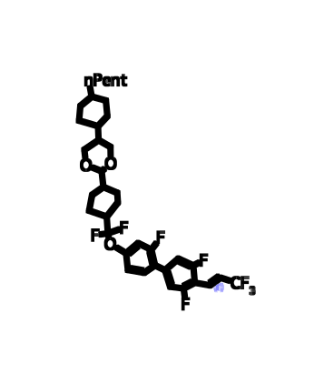 CCCCCC1CCC(C2COC(C3CCC(C(F)(F)Oc4ccc(-c5cc(F)c(/C=C/C(F)(F)F)c(F)c5)c(F)c4)CC3)OC2)CC1